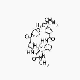 Cc1c(NC(=O)c2ccc(C(C)(C)C)cc2)cccc1-c1cc(Nc2ccc(C(=O)N3CCOCC3)cc2)c(=O)n(C)n1